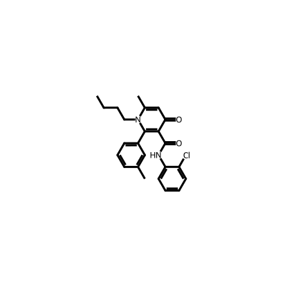 CCCCn1c(C)cc(=O)c(C(=O)Nc2ccccc2Cl)c1-c1cccc(C)c1